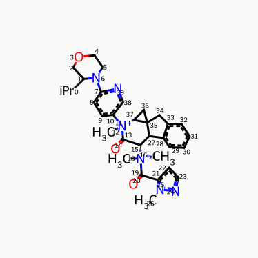 CC(C)C1COCCN1c1ccc([N+]2(C)C(=O)[C@@H]([N+](C)(C)C(=O)c3ccnn3C)C3c4ccccc4CC34CC42)cn1